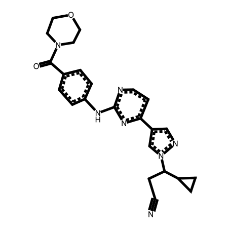 N#CCC(C1CC1)n1cc(-c2ccnc(Nc3ccc(C(=O)N4CCOCC4)cc3)n2)cn1